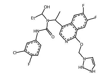 CCC(O)N(C(=O)Nc1ccc(F)c(Cl)c1)C(C)c1cnc(OCN2C=CNN2)c2cc(F)c(F)cc12